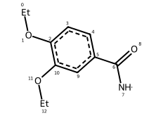 CCOc1ccc(C([NH])=O)cc1OCC